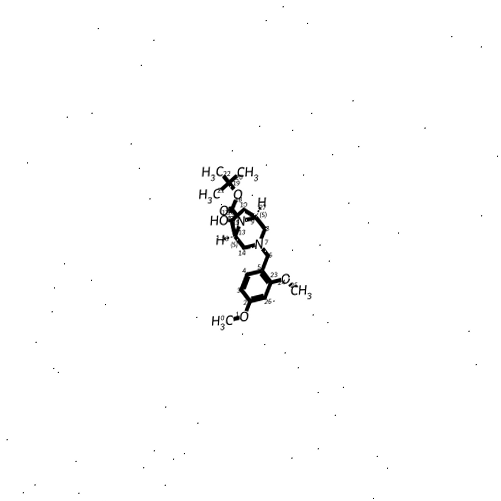 COc1ccc(CN2C[C@@H]3C[C@H](O)[C@H](C2)N3C(=O)OC(C)(C)C)c(OC)c1